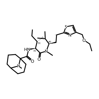 CCOCc1csc([CH]C[C@H](C(C)C)N(C)C(=O)[C@@H](NC(=O)C23CCCC(CCC2)N3C)[C@@H](C)CC)n1